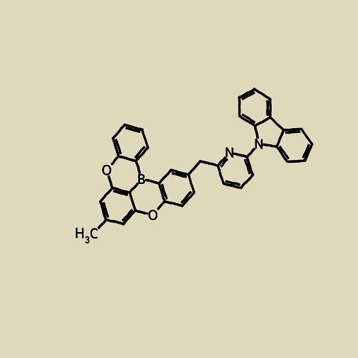 Cc1cc2c3c(c1)Oc1ccc(Cc4cccc(-n5c6ccccc6c6ccccc65)n4)cc1B3c1ccccc1O2